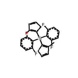 CC1=[C]([Ti]([C]2=C(C)C=CC2)([c]2c(F)cccc2F)[c]2c(F)cccc2F)CC=C1